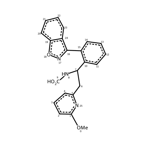 COc1cccc(CC(NC(=O)O)c2ccccc2-c2noc3ccccc23)n1